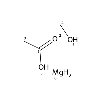 CC(=O)O.CO.[MgH2]